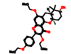 COCOc1ccc(-c2oc3cc(OCOC)c4c(c3c(=O)c2OCOC)O[C@]2(C)CC[C@@H](O)C(C)(C)[C@@H]2C4)cc1